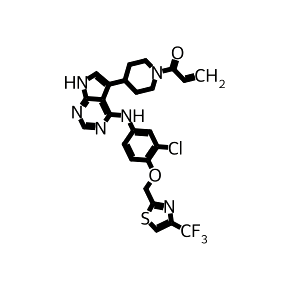 C=CC(=O)N1CCC(c2c[nH]c3ncnc(Nc4ccc(OCc5nc(C(F)(F)F)cs5)c(Cl)c4)c23)CC1